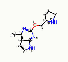 CC(C)c1nc(OC[C@H]2CCCN2)nc2[nH]ccc12